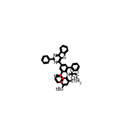 C=CC(C)(C)N(c1c(-c2ccccc2)cc(-c2nc(-c3ccccc3)nc3c2sc2ccccc23)cc1-c1ccccc1)c1c(CC)cc(C(C)(C)C)cc1C(C)(C)C